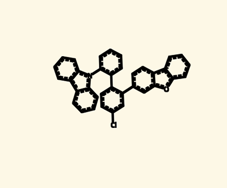 Clc1ccc(-c2ccccc2-n2c3ccccc3c3ccccc32)c(-c2ccc3c(c2)oc2ccccc23)c1